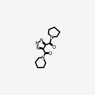 O=C(C1=N[N]N=C1C(=O)N1CCCCC1)N1CCCCC1